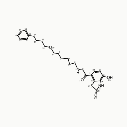 O=C(CNCCCCCCOCCCCc1ccccc1)c1ccc(O)c2[nH]c(=O)sc12